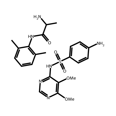 COc1ncnc(NS(=O)(=O)c2ccc(N)cc2)c1OC.Cc1cccc(C)c1NC(=O)C(C)N